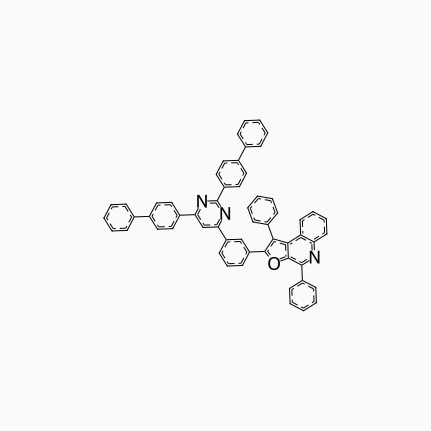 c1ccc(-c2ccc(-c3cc(-c4cccc(-c5oc6c(-c7ccccc7)nc7ccccc7c6c5-c5ccccc5)c4)nc(-c4ccc(-c5ccccc5)cc4)n3)cc2)cc1